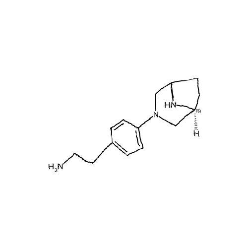 NCCc1ccc(N2CC3CC[C@@H](C2)N3)cc1